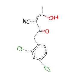 C/C(O)=C(\C#N)C(=O)Cc1ccc(Cl)cc1Cl